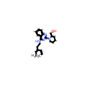 C/C=C\C(=C/C)CCNc1nc(N2CCCCC2CO)nc2ccccc12